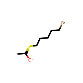 CC(O)=[SH]CCCCCBr